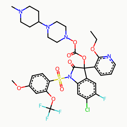 CCOc1ncccc1C1(OC(=O)ON2CCN(C3CCN(C)CC3)CC2)C(=O)N(S(=O)(=O)c2ccc(OC)cc2OC(F)(F)F)c2cc(Cl)c(F)cc21